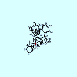 COCC1CC2CCC(C1)N2c1nc(N2C3CCC2COC3)c2c(-c3ccccc3OC)csc2n1